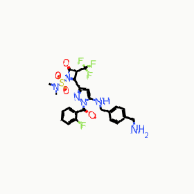 CN(C)S(=O)(=O)N1C(=O)C(C(F)(F)F)C1c1cc(NCc2ccc(CN)cc2)n(C(=O)c2ccccc2F)n1